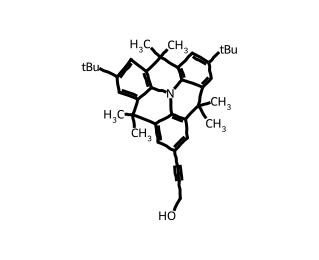 CC(C)(C)c1cc2c3c(c1)C(C)(C)c1cc(C(C)(C)C)cc4c1N3c1c(cc(C#CCO)cc1C4(C)C)C2(C)C